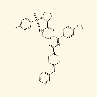 Cc1ccc(-c2cc(CNC(=O)[C@@H]3CCCN3S(=O)(=O)c3ccc(F)cc3)cc(N3CCN(Cc4cccnc4)CC3)n2)cc1